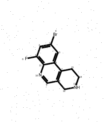 Fc1cc(Br)cc2c3c(cnc12)CNCC3